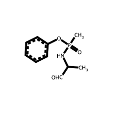 CC(C=O)NP(C)(=O)Oc1ccccc1